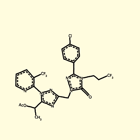 CC(=O)OC(C)c1nc(Cn2nc(-c3ccc(Cl)cc3)n(CCC(F)(F)F)c2=O)nn1-c1ncccc1C(F)(F)F